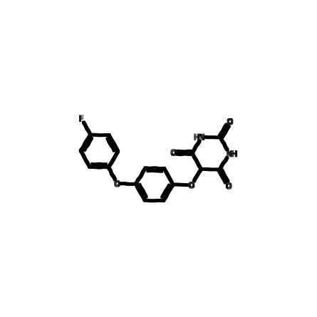 O=C1NC(=O)C(Oc2ccc(Oc3ccc(F)cc3)cc2)C(=O)N1